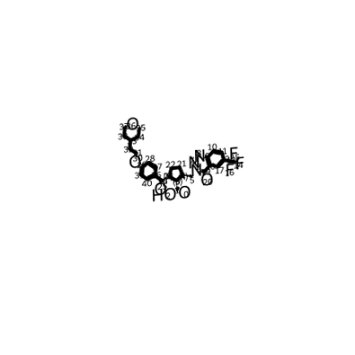 O=C(O)[C@H]1[C@H](Cn2nnc3ccc(C(F)(F)F)cc3c2=O)CC[C@@H]1C(=O)c1ccc(OCCC2CCOCC2)cc1